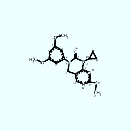 COc1cc(OC)cc(N2Cc3cnc(SC)nc3N(C3CC3)C2=O)c1